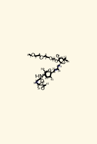 CCOCCOCCOCCO[C@H]1C(=O)CC(C)(C)O[C@@H]1/C=C/C(C)=C/C[C@@H]1O[C@H](C)[C@H](NC(=O)/C=C\[C@H](C)OC(C)=O)C[C@@H]1C